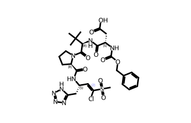 CC(C)(C)[C@@H](NC(=O)[C@H](CC(=O)O)NC(=O)OCc1ccccc1)C(=O)N1CCC[C@@H]1C(=O)N[C@H](/C=C(\Cl)S(C)(=O)=O)Cc1nnn[nH]1